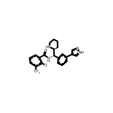 O=C(N[C@@H](c1cccc(-c2cn[nH]c2)c1)[C@@H]1CCCCN1)c1cccc(C(F)(F)F)c1Cl